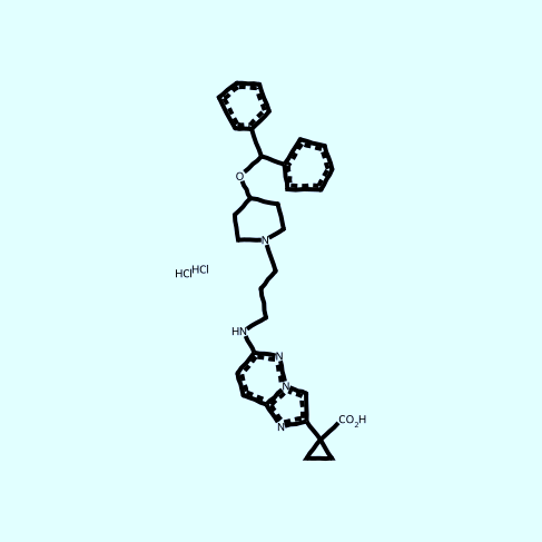 Cl.Cl.O=C(O)C1(c2cn3nc(NCCCN4CCC(OC(c5ccccc5)c5ccccc5)CC4)ccc3n2)CC1